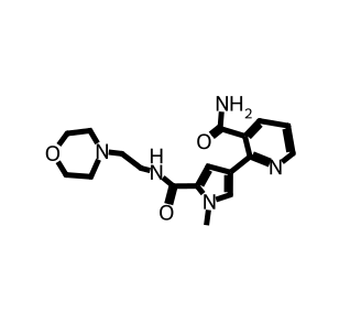 Cn1cc(-c2ncccc2C(N)=O)cc1C(=O)NCCN1CCOCC1